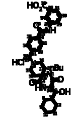 CCCCN1C(=O)[C@@H]([C@H](O)C2CCCCC2)NC(=O)C12CCN(Cc1ccc(C(=O)Nc3cccc(C(=O)O)c3)cc1)CC2.Cl